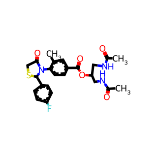 CC(=O)NCC(CNC(C)=O)OC(=O)c1ccc(N2C(=O)CSC2c2ccc(F)cc2)c(C)c1